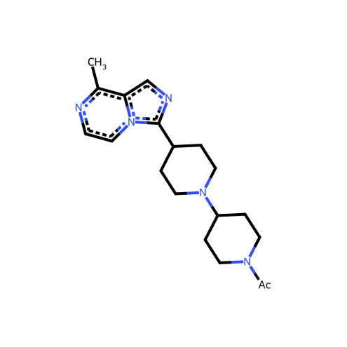 CC(=O)N1CCC(N2CCC(c3ncc4c(C)nccn34)CC2)CC1